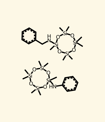 C[Si]1(C)O[Si](C)(C)O[Si](C)(NCc2ccccc2)O[Si](C)(C)O1.C[Si]1(C)O[Si](C)(C)O[Si](C)(Nc2ccccc2)O[Si](C)(C)O1